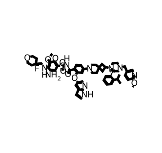 COc1ccc(CN2CCN(C3CC4(CCN(c5ccc(C(=O)NS(=O)(=O)c6cc(N)c(NCC7(F)CCOCC7)c7c6OCO7)c(Oc6cnc7[nH]ccc7c6)c5)CC4)C3)[C@H](c3ccccc3C(C)C)C2)cn1